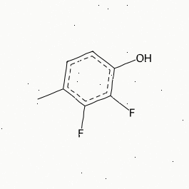 Cc1ccc(O)c(F)c1F